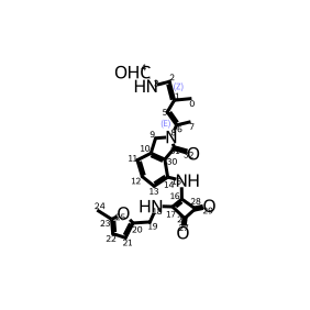 CC(=C/NC=O)/C=C(\C)N1Cc2cccc(Nc3c(NCc4ccc(C)o4)c(=O)c3=O)c2C1=O